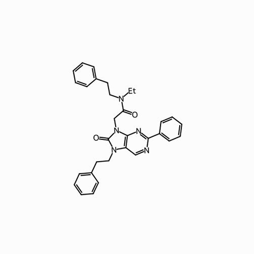 CCN(CCc1ccccc1)C(=O)Cn1c(=O)n(CCc2ccccc2)c2cnc(-c3ccccc3)nc21